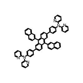 c1ccc(N(c2ccc(-c3ccc4c(-c5ccc6ccccc6c5)c5cc(-c6ccc(N(c7ccccn7)c7ccccn7)cc6)ccc5c(-c5ccc6ccccc6c5)c4c3)cc2)c2ccccn2)nc1